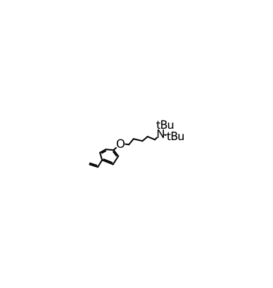 C=Cc1ccc(OCCCCCN(C(C)(C)C)C(C)(C)C)cc1